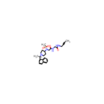 CC#CCNC(=O)CNC(=O)CN(C1CCN([C@H](C)c2cccc3ccccc23)CC1)S(C)(=O)=O